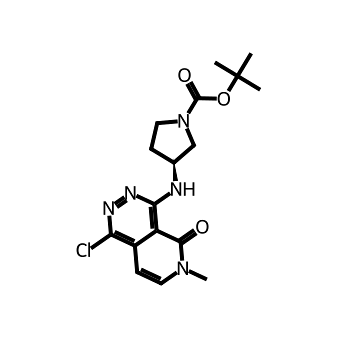 Cn1ccc2c(Cl)nnc(N[C@H]3CCN(C(=O)OC(C)(C)C)C3)c2c1=O